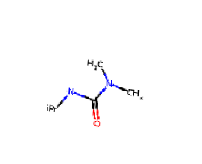 CC(C)[N]C(=O)N(C)C